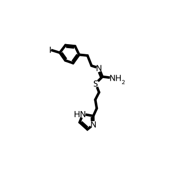 NC(=NCCc1ccc(I)cc1)SCCCc1ncc[nH]1